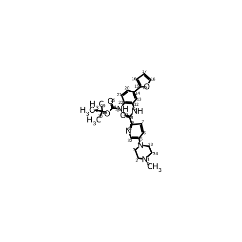 CN1CCN(c2ccc(C(=O)Nc3cc(-c4ccco4)ccc3NC(=O)OC(C)(C)C)nc2)CC1